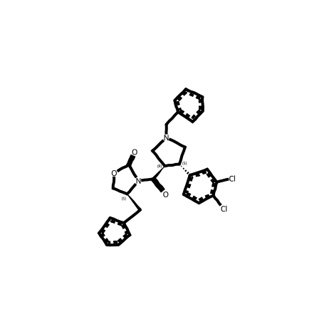 O=C1OC[C@H](Cc2ccccc2)N1C(=O)[C@H]1CN(Cc2ccccc2)C[C@@H]1c1ccc(Cl)c(Cl)c1